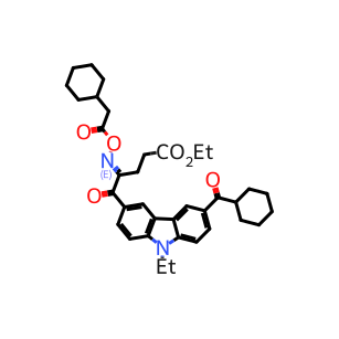 CCOC(=O)CC/C(=N\OC(=O)CC1CCCCC1)C(=O)c1ccc2c(c1)c1cc(C(=O)C3CCCCC3)ccc1n2CC